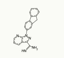 N=C(N)c1nn(-c2ccc3c(c2)Cc2ccccc2-3)c2ncccc12